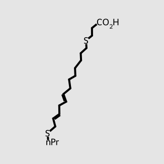 CCCSCC=CCC=CCCCCCCCSCCC(=O)O